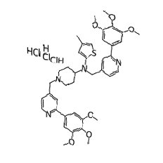 COc1cc(-c2cc(CN3CCC(N(Cc4ccnc(-c5cc(OC)c(OC)c(OC)c5)c4)c4cc(C)cs4)CC3)ccn2)cc(OC)c1OC.Cl.Cl.Cl